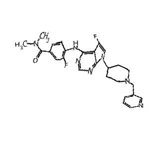 CN(C)C(=O)c1ccc(Nc2ncnc3c2c(F)cn3C2CCN(Cc3cccnc3)CC2)c(F)c1